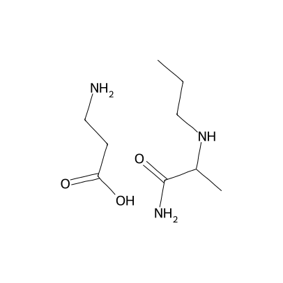 CCCNC(C)C(N)=O.NCCC(=O)O